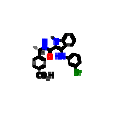 C[C@H](NC(=O)c1c(Nc2cccc(Br)c2)c2ccccc2n1C)c1ccc(C(=O)O)cc1